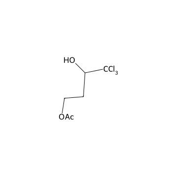 CC(=O)OCCC(O)C(Cl)(Cl)Cl